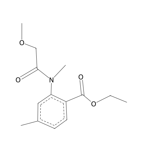 CCOC(=O)c1ccc(C)cc1N(C)C(=O)COC